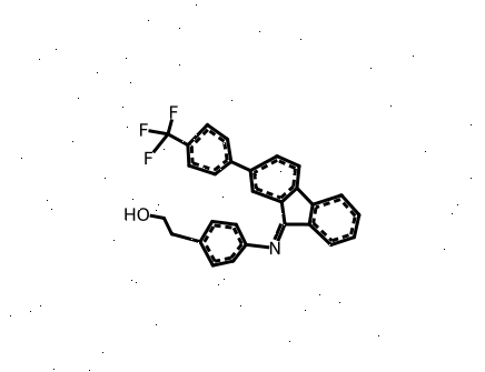 OCCc1ccc(N=C2c3ccccc3-c3ccc(-c4ccc(C(F)(F)F)cc4)cc32)cc1